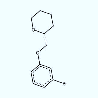 Brc1cccc(OC[C@H]2CCCCO2)c1